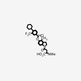 CNC(CC(=O)N1CCc2c1ccc(OCc1ccc(C3CCCCC3)c(C(F)(F)F)c1)c2C)C(=O)O.Cl